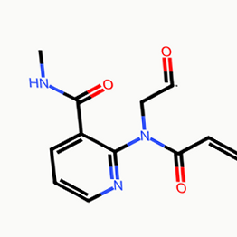 C=CC(=O)N(C[C]=O)c1ncccc1C(=O)NC